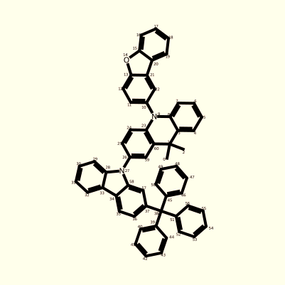 CC1(C)c2ccccc2N(c2ccc3oc4ccccc4c3c2)c2ccc(-n3c4ccccc4c4ccc(C(c5ccccc5)(c5ccccc5)c5ccccc5)cc43)cc21